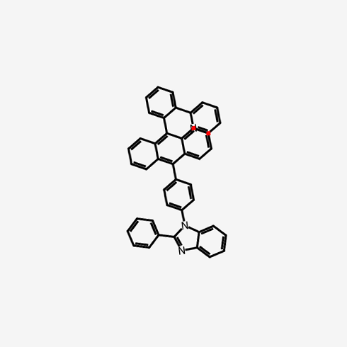 c1ccc(-c2nc3ccccc3n2-c2ccc(-c3c4ccccc4c(-c4ccccc4-c4ccccn4)c4ccccc34)cc2)cc1